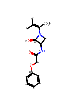 CC(C)=C(C(=O)O)N1CC(NC(=O)COc2ccccc2)C1=O